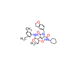 C=CC1OC2=C(C(=O)N(Cc3ccc4c(c3)CCO4)C2C(=O)NC2CCCCC2)C1C(=O)Nc1cc(C)cc(C)c1